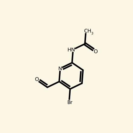 CC(=O)Nc1ccc(Br)c(C=O)n1